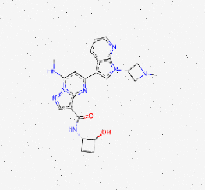 CNc1cc(-c2cn(C3CN(C)C3)c3ncccc23)nc2c(C(=O)N[C@H]3CC[C@@H]3O)cnn12